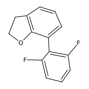 Fc1cccc(F)c1-c1cccc2c1OCC2